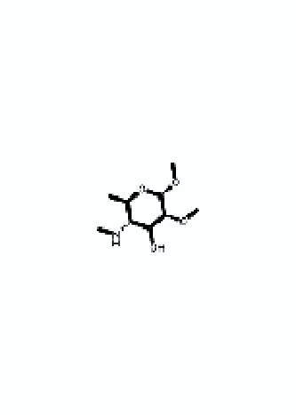 CN[C@@H]1C(C)O[C@@H](OC)[C@@H](OC)C1O